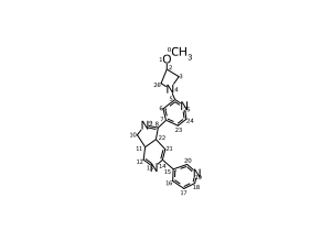 COC1CN(c2cc(C3=NCC4C=NC(c5cccnc5)=CC34)ccn2)C1